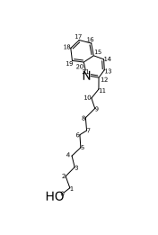 OCCCCCCCCCCCc1ccc2ccccc2n1